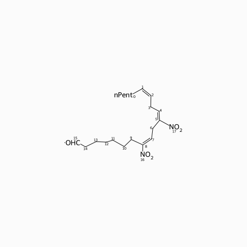 CCCCC/C=C\C/C=C(\C/C=C(\CCCCCC[C]=O)[N+](=O)[O-])[N+](=O)[O-]